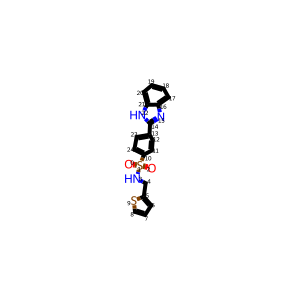 O=S(=O)(NCc1cccs1)c1ccc(-c2nc3ccccc3[nH]2)cc1